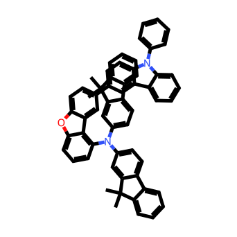 CC1(C)c2ccccc2-c2ccc(N(c3ccc4c(c3)C(C)(C)c3ccccc3-4)c3cccc4oc5ccc(-c6ccc7c(c6)c6ccccc6n7-c6ccccc6)cc5c34)cc21